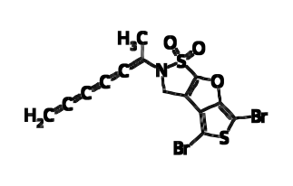 C=C=C=C=C=C(C)N1Cc2c(oc3c(Br)sc(Br)c23)S1(=O)=O